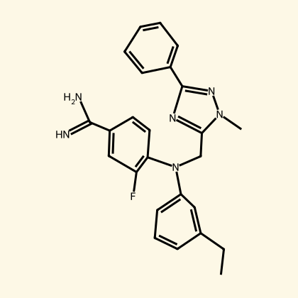 CCc1cccc(N(Cc2nc(-c3ccccc3)nn2C)c2ccc(C(=N)N)cc2F)c1